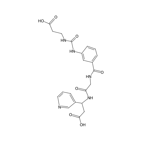 O=C(O)CCNC(=O)Nc1cccc(C(=O)NCC(=O)NC(CC(=O)O)c2cccnc2)c1